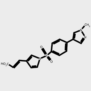 Cn1cc(-c2ccc(S(=O)(=O)n3ccc(/C=C/C(=O)O)c3)cc2)cn1